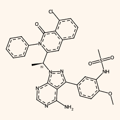 COc1ccc(-c2nn([C@@H](C)c3cc4cccc(Cl)c4c(=O)n3-c3ccccc3)c3ncnc(N)c23)cc1NS(C)(=O)=O